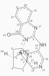 CN1[C@@H]2CC[C@H]1C[C@H](n1c(Nc3cccnc3)nc3ccccc3c1=O)C2